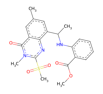 COC(=O)c1ccccc1NC(C)c1cc(C)cc2c(=O)n(C)c(S(C)(=O)=O)nc12